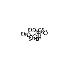 CCOC(=O)c1sc2c(c1NC(=O)NCC1=C(n3cccc3)CSC3=C1CCN(CC)C3)CCCC2